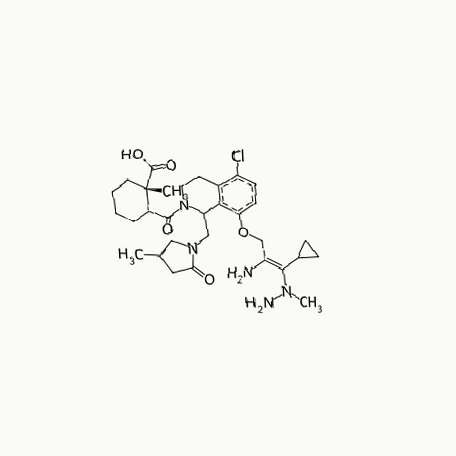 CC1CC(=O)N(CC2c3c(OC/C(N)=C(\C4CC4)N(C)N)ccc(Cl)c3CCN2C(=O)C2CCCC[C@]2(C)C(=O)O)C1